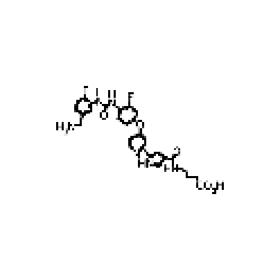 NCc1ccc(F)c(NC(=O)Nc2ccc(Oc3ccnc(-c4cc(C(=O)NCCCC(=O)O)c[nH]4)c3)cc2F)c1